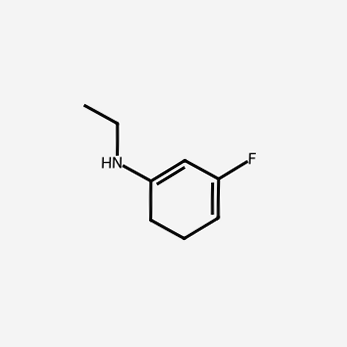 CCNC1=CC(F)=CCC1